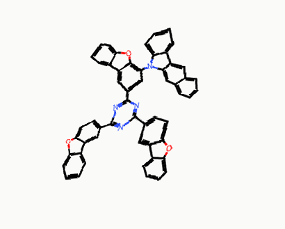 c1ccc2cc3c(cc2c1)c1ccccc1n3-c1cc(-c2nc(-c3ccc4oc5ccccc5c4c3)nc(-c3ccc4oc5ccccc5c4c3)n2)cc2c1oc1ccccc12